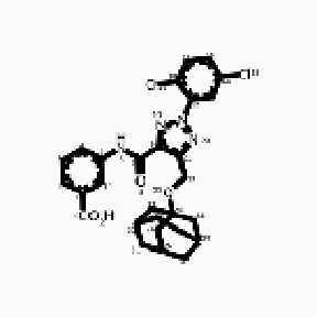 O=C(O)c1cccc(NC(=O)c2nn(-c3cc(Cl)ccc3Cl)nc2COC23CC4CC(CC(C4)C2)C3)c1